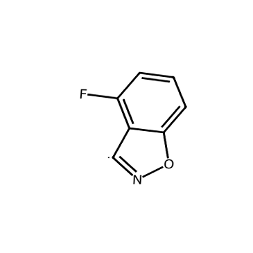 Fc1cccc2on[c]c12